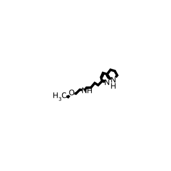 CCOCCNCCCCc1ccc2c(n1)NCCC2